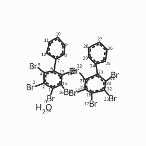 Brc1c(Br)c(Br)c(-c2ccccc2)c(Br)c1Br.Brc1c(Br)c(Br)c(-c2ccccc2)c(Br)c1Br.O